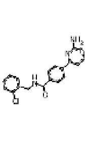 Nc1nccc(-c2ccc(C(=O)NCc3ccccc3Cl)cc2)n1